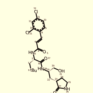 CC(C)(C)C[C@H](NC(=O)/C=C/c1ccc(Cl)cc1Cl)C(=O)N[C@H](CO)C[C@@H]1CCNC1=O